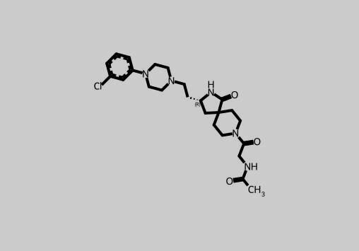 CC(=O)NCC(=O)N1CCC2(CC1)C[C@H](CCN1CCN(c3cccc(Cl)c3)CC1)NC2=O